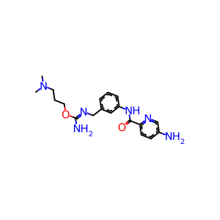 CN(C)CCCO/C(N)=N/Cc1cccc(NC(=O)c2ccc(N)cn2)c1